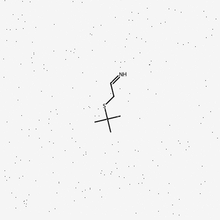 CC(C)(C)SCC=N